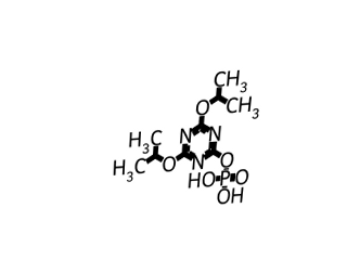 CC(C)Oc1nc(OC(C)C)nc(OP(=O)(O)O)n1